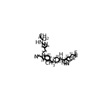 C=CC(=O)Nn1cc(CCn2c(C#N)cc3c(C)c(CN4CCC(Nc5ncnc6sc(CC(F)(F)F)cc56)CC4)ccc32)cn1